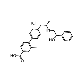 Cc1cc(C(=O)O)ccc1-c1ccc(C[C@@H](C)NC[C@H](O)c2ccccc2)cc1.Cl